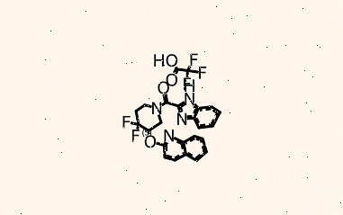 O=C(O)C(F)(F)F.O=C(c1nc2ccccc2[nH]1)N1CCC(F)(F)[C@@H](Oc2ccc3ccccc3n2)C1